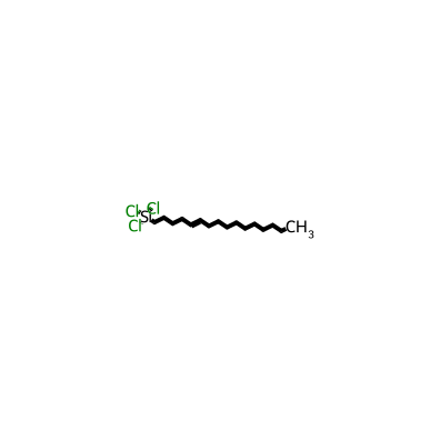 CCCCCCCCCCC=CCCCC[Si](Cl)(Cl)Cl